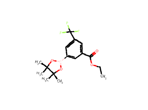 CCOC(=O)c1cc(B2OC(C)(C)C(C)(C)O2)cc(C(F)(F)F)c1